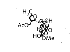 COP(=O)(O)OP(=O)(O)OP(=O)(O)OC[C@H]1O[C@@H](C)C[C@@H]1COC(C)=O